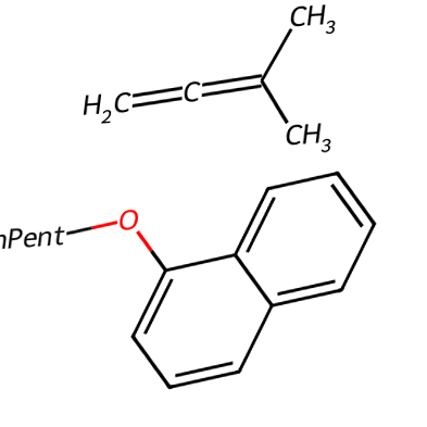 C=C=C(C)C.CCCCCOc1cccc2ccccc12